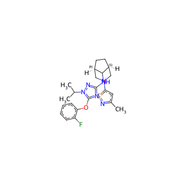 Cc1cc(N2C[C@H]3CC[C@@H](C2)C3Nc2nc(Oc3ccccc3F)n(C(C)C)n2)sn1